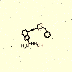 Cl.N=C(N)c1cc2c(C#CC3COC(Cc4ccccc4)O3)cccc2s1